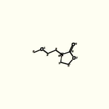 COCCN1C[CH]OC1=O